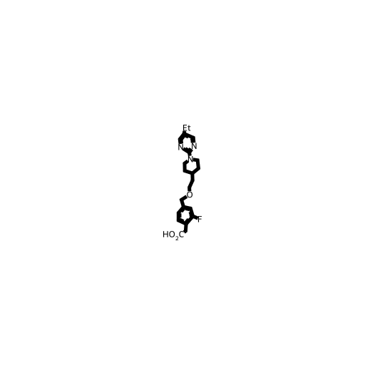 CCc1cnc(N2CCC(CCOCc3ccc(CC(=O)O)c(F)c3)CC2)nc1